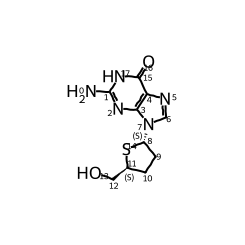 Nc1nc2c(ncn2[C@@H]2CC[C@@H](CO)S2)c(=O)[nH]1